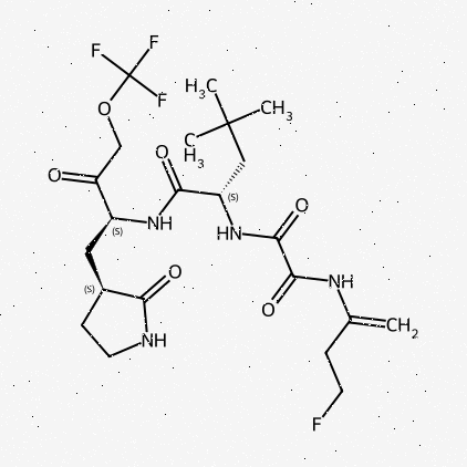 C=C(CCF)NC(=O)C(=O)N[C@@H](CC(C)(C)C)C(=O)N[C@@H](C[C@@H]1CCNC1=O)C(=O)COC(F)(F)F